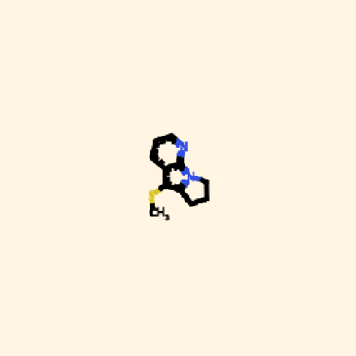 CSc1c2n(c3ncccc13)CCC2